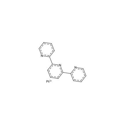 [Pt+2].c1ccc(-c2cccc(-c3ccccn3)n2)nc1